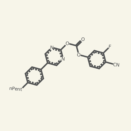 CCCCCc1ccc(-c2cnc(OC(=O)Oc3ccc(C#N)c(F)c3)nc2)cc1